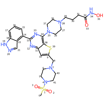 CS(=O)(=O)N1CCN(Cc2cc3nc(-c4cccc5[nH]ncc45)nc(N4CCN(CCCC(=O)NO)CC4)c3s2)CC1